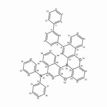 c1ccc(-c2cccc(-c3cc4c(c5ccccc35)Oc3cccc5c3B4c3c(cc(N(c4ccccc4)c4ccccc4)c4ccccc34)O5)c2)cc1